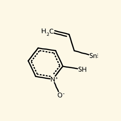 C=C[CH2][Sn].[O-][n+]1ccccc1S